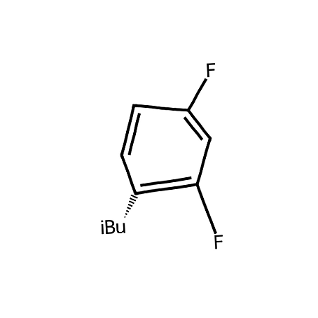 CC[C@@H](C)c1ccc(F)cc1F